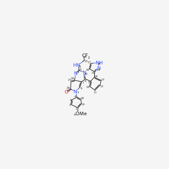 COc1ccc(-n2cc3c(-c4ccccc4-c4cc[nH]n4)nc(NCC(F)(F)F)nc3cc2=O)cc1